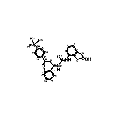 O=C(Nc1cccc2c1CC(O)C2)NC1CC(c2ccc(C(F)(F)F)cc2)Oc2ccccc21